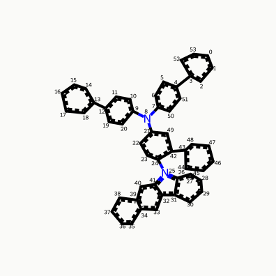 c1ccc(-c2ccc(N(c3ccc(-c4ccccc4)cc3)c3ccc(-n4c5ccccc5c5cc6ccccc6cc54)c(-c4ccccc4)c3)cc2)cc1